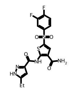 CCc1cc(C(=O)Nc2sc(S(=O)(=O)c3ccc(F)c(F)c3)cc2C(N)=O)n[nH]1